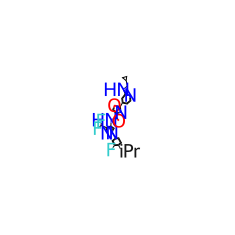 CC(C)c1ccc(-n2cc(NC(=O)c3coc(-c4ccnc(NCC5CC5)c4)n3)c(C(F)F)n2)cc1F